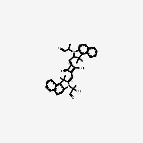 CC(C=O)[N+]1=C(/C=C2/C(=O)C(/C=C3/N(C(C)(O)C=O)c4ccc5ccccc5c4C3(C)C)=C2O)C(C)(C)c2c1ccc1ccccc21